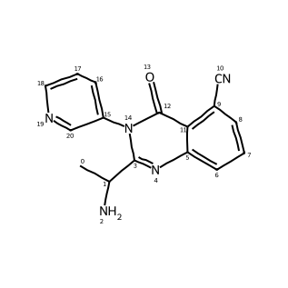 CC(N)c1nc2cccc(C#N)c2c(=O)n1-c1cccnc1